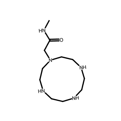 CNC(=O)CN1CCNCCNCCNCC1